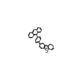 C1=Cc2sc3ccc(-c4ccc(-c5c6ccccc6cc6ccccc56)cc4)cc3c2CC1